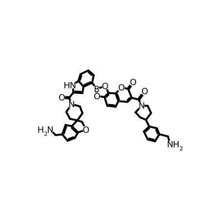 NCc1cccc(C2CCN(C(=O)c3cc4ccc5c(c4oc3=O)OB(c3cccc4[nH]c(C(=O)N6CCC7(CC6)COc6ccc(CN)cc67)cc34)O5)CC2)c1